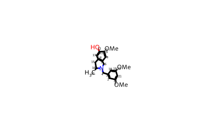 COc1cc(CN2Cc3cc(OC)c(O)cc3CC2C)cc(OC)c1